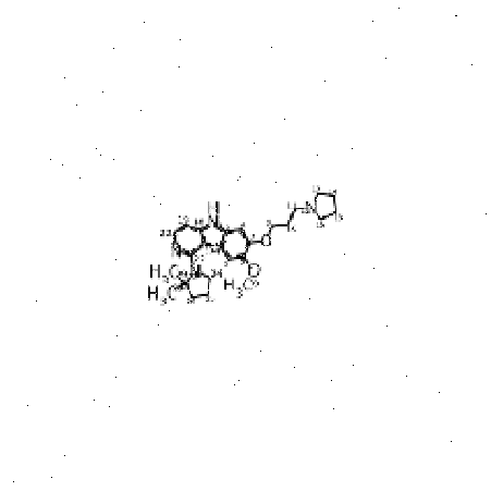 COc1cc2c(cc1OCCCN1CCCC1)[nH]c1ccnc(N3CCCC3(C)C)c12